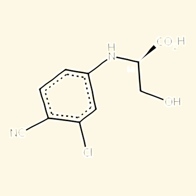 N#Cc1ccc(N[C@H](CO)C(=O)O)cc1Cl